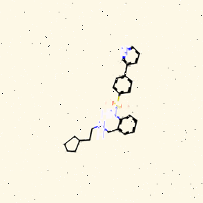 C[C@@H](CC1CCCC1)NCc1ccccc1NS(=O)(=O)c1ccc(-c2cccnc2)cc1